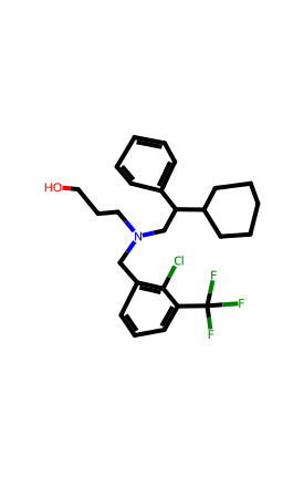 OCCCN(Cc1cccc(C(F)(F)F)c1Cl)CC(c1ccccc1)C1CCCCC1